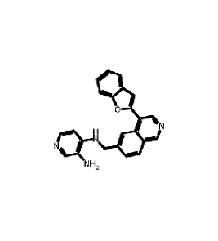 Nc1cnccc1NCc1ccc2cncc(-c3cc4ccccc4o3)c2c1